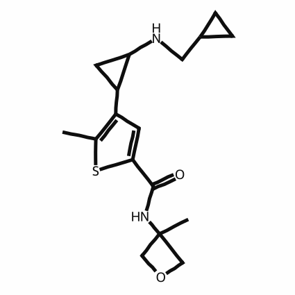 Cc1sc(C(=O)NC2(C)COC2)cc1C1CC1NCC1CC1